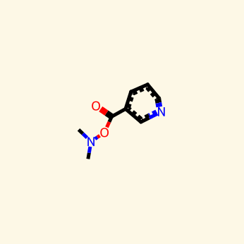 CN(C)OC(=O)c1cccnc1